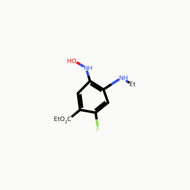 CCNc1cc(F)c(C(=O)OCC)cc1NO